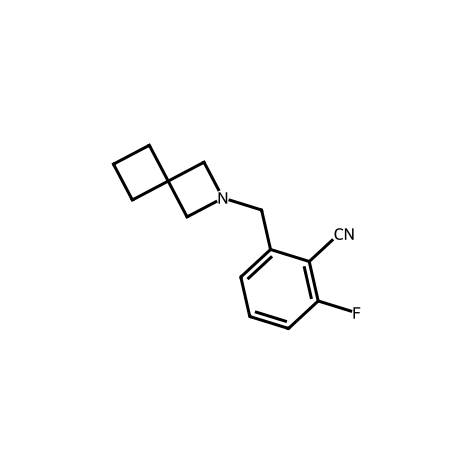 N#Cc1c(F)cccc1CN1CC2(CCC2)C1